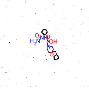 NC(=O)Nc1ccccc1OC[C@@H](O)CN1CCC2(CC1)Cc1ccccc1O2